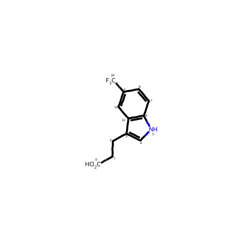 O=C(O)CCc1c[nH]c2ccc(C(F)(F)F)cc12